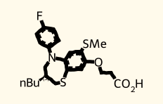 CCCC[C@@H]1CSc2cc(OCCC(=O)O)c(SC)cc2N(c2ccc(F)cc2)C1